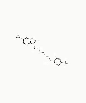 Cc1nn2cc(C3CC3)cnc2c1C(=O)NCCOC[C@H](O)c1ncc(C(F)(F)F)cc1F